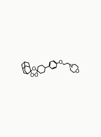 c1cc(C2CCC3(CC2)OOC2(O3)C3CC4CC(C3)CC2C4)ccc1OCCN1CCOCC1